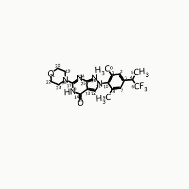 Cc1cc(C(C)C(F)(F)F)cc(C)c1-n1cc2c(=O)[nH]c(N3CCOCC3)nc2n1